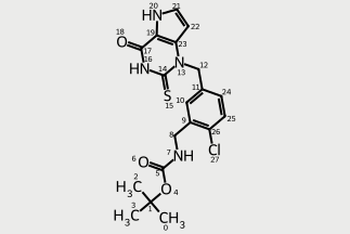 CC(C)(C)OC(=O)NCc1cc(Cn2c(=S)[nH]c(=O)c3[nH]ccc32)ccc1Cl